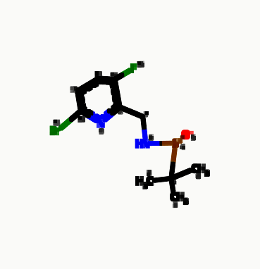 CC(C)(C)[S@+]([O-])NCc1nc(Br)ccc1F